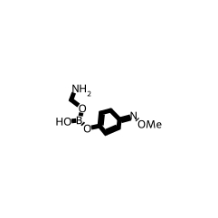 CON=C1C=CC(OB(O)OCN)=CC1